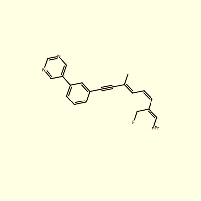 CCC/C=C(/C=C\C=C(/C)C#Cc1cccc(-c2cncnc2)c1)CF